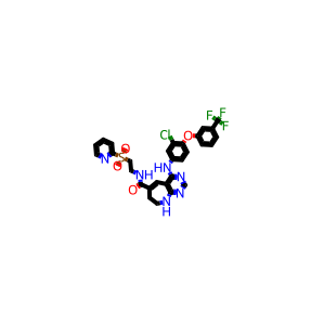 O=C(NCCS(=O)(=O)c1ccccn1)C1=Cc2c(ncnc2Nc2ccc(Oc3cccc(C(F)(F)F)c3)c(Cl)c2)NCC1